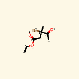 CCOC(=O)CC(C)(Br)C(C)=O